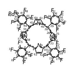 Fc1c(F)c(F)c(-c2c3nc(c(-c4c(F)c(F)c(F)c(F)c4F)c4ccc([nH]4)c(-c4c(F)c(F)c(F)c(F)c4F)c4nc(c(-c5c(F)c(F)c(F)c(F)c5F)c5ccc2[nH]5)C=C4)C=C3)c(F)c1F.[Pd+2]